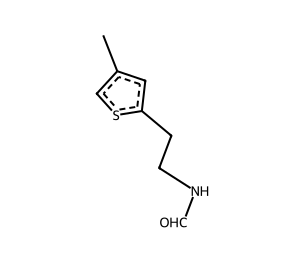 Cc1csc(CCNC=O)c1